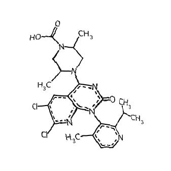 Cc1ccnc(C(C)C)c1-n1c(=O)nc(N2CC(C)N(C(=O)O)CC2C)c2cc(Cl)c(Cl)nc21